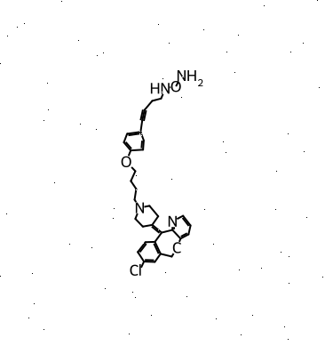 NONCCC#Cc1ccc(OCCCCN2CCC(=C3c4ccc(Cl)cc4CCc4cccnc43)CC2)cc1